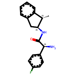 C[C@H]1c2ccccc2C[C@@H]1NC(=O)[C@@H](N)c1ccc(F)cc1